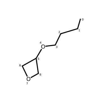 CCCCOC1COC1